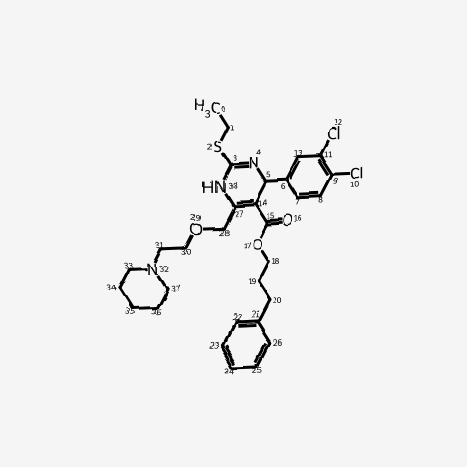 CCSC1=NC(c2ccc(Cl)c(Cl)c2)C(C(=O)OCCCc2ccccc2)=C(COCCN2CCCCC2)N1